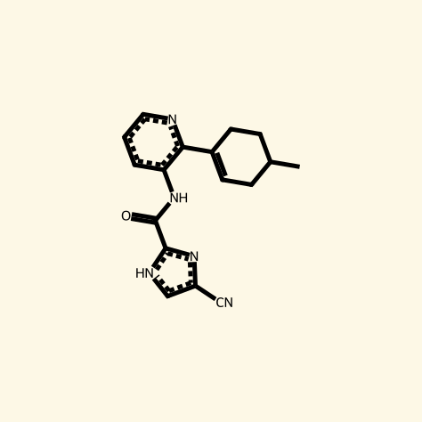 CC1CC=C(c2ncccc2NC(=O)c2nc(C#N)c[nH]2)CC1